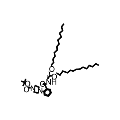 CCCCCCCCCCCCCCOC[C@H](CNC(=O)c1ccccc1N1CCN(C(=O)OC(C)(C)C)CC1)OCCCCCCCCCCCCCC